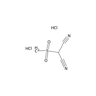 CS(=O)(=O)C(C#N)C#N.Cl.Cl